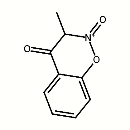 CC1C(=O)c2ccccc2O[N+]1=O